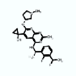 Cc1nc(N[C@H](C)c2cccc(C(C)F)c2F)c2cc(C3(C#N)CC3)c(O[C@@H]3CCN(C)C3)nc2n1